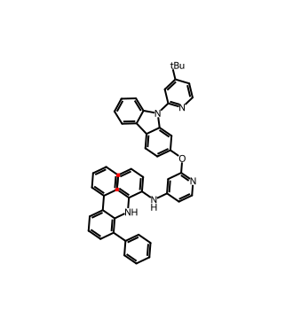 CC(C)(C)c1ccnc(-n2c3ccccc3c3ccc(Oc4cc(Nc5ccccc5Nc5c(-c6ccccc6)cccc5-c5ccccc5)ccn4)cc32)c1